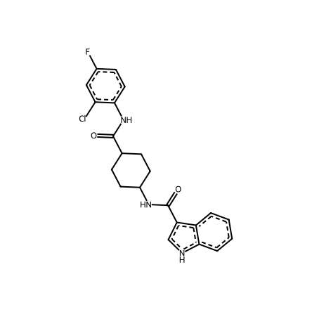 O=C(NC1CCC(C(=O)Nc2ccc(F)cc2Cl)CC1)c1c[nH]c2ccccc12